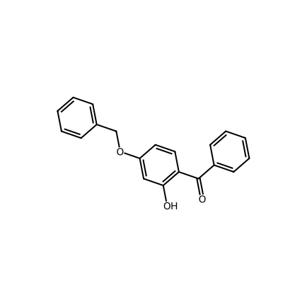 O=C(c1ccccc1)c1ccc(OCc2ccccc2)cc1O